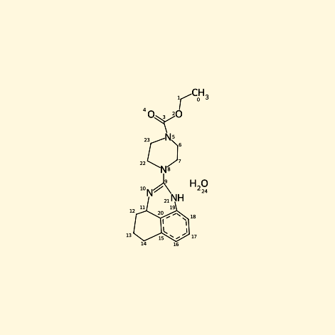 CCOC(=O)N1CCN(C2=NC3CCCc4cccc(c43)N2)CC1.O